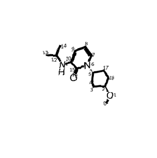 CO[C@H]1CC[C@H](n2cccc(NC(C)C)c2=O)CC1